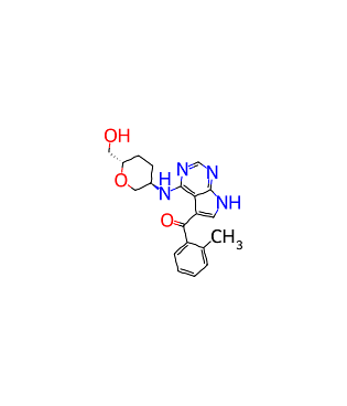 Cc1ccccc1C(=O)c1c[nH]c2ncnc(N[C@@H]3CC[C@@H](CO)OC3)c12